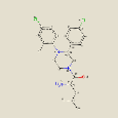 Cc1cc(Cl)ccc1N1CCN(C(=O)[C@@H](N)CC(C)C)C[C@H]1c1ccc(Cl)cc1